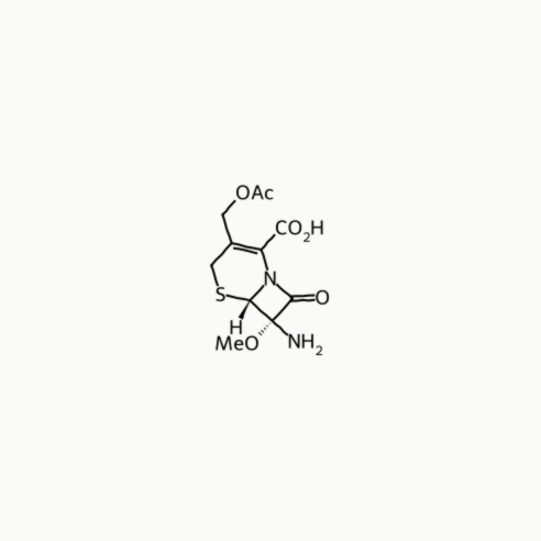 CO[C@@]1(N)C(=O)N2C(C(=O)O)=C(COC(C)=O)CS[C@H]21